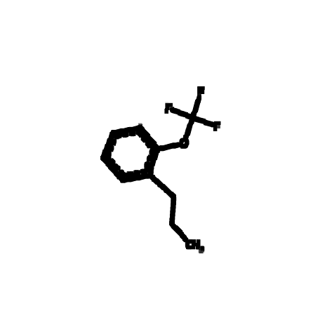 CCCc1ccc[c]c1OC(F)(F)F